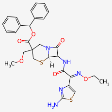 CCON=C(C(=O)NC1C(=O)N2CC(COC)(C(=O)OC(c3ccccc3)c3ccccc3)CS[C@H]12)c1csc(N)n1